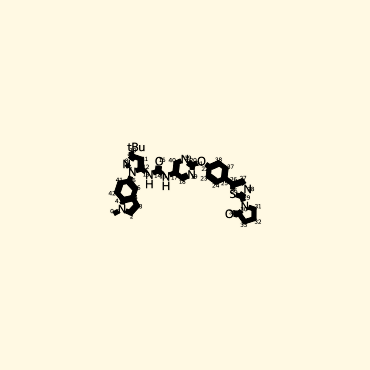 Cn1ccc2cc(-n3nc(C(C)(C)C)cc3NC(=O)Nc3cnc(Oc4ccc(-c5cnc(N6CCCC6=O)s5)cc4)nc3)ccc21